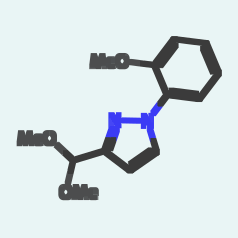 COc1ccccc1-n1ccc(C(OC)OC)n1